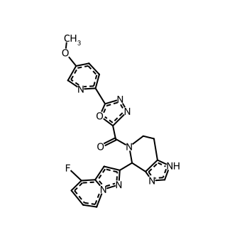 COc1ccc(-c2nnc(C(=O)N3CCc4[nH]cnc4C3c3cc4c(F)cccn4n3)o2)nc1